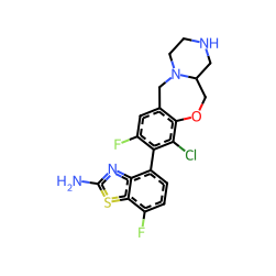 Nc1nc2c(-c3c(F)cc4c(c3Cl)OCC3CNCCN3C4)ccc(F)c2s1